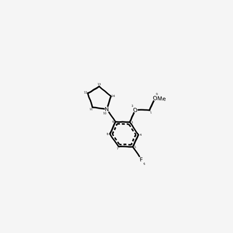 COCOc1cc(F)ccc1N1CCCC1